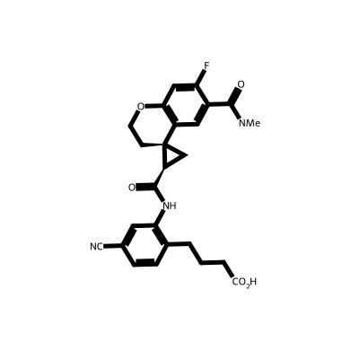 CNC(=O)c1cc2c(cc1F)OCC[C@]21C[C@H]1C(=O)Nc1cc(C#N)ccc1CCCC(=O)O